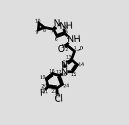 C[C@@H](C(=O)Nc1cc(C2CC2)n[nH]1)c1ccn(-c2ccc(F)c(Cl)c2)n1